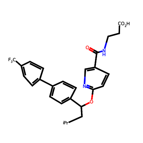 CC(C)CC(Oc1ccc(C(=O)NCCC(=O)O)cn1)c1ccc(-c2ccc(C(F)(F)F)cc2)cc1